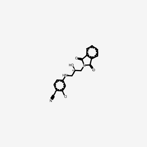 N#Cc1ccc(NC[C@@H](O)CN2C(=O)c3ccccc3C2=O)cc1Cl